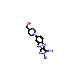 CCn1ncc(/N=C2/C=CC(=[N+]3CCC(CO)CC3)C=C2NC(C)=O)c1N